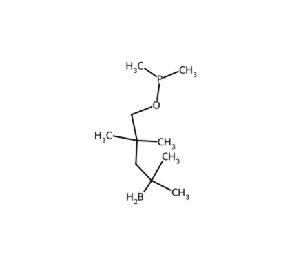 BC(C)(C)CC(C)(C)COP(C)C